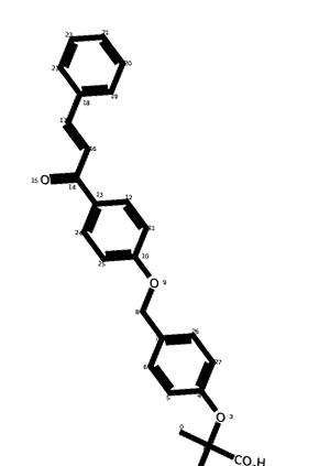 CC(C)(Oc1ccc(COc2ccc(C(=O)/C=C/c3ccccc3)cc2)cc1)C(=O)O